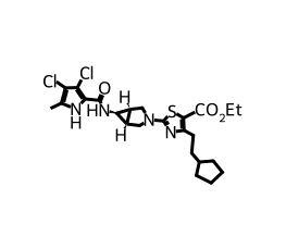 CCOC(=O)c1sc(N2C[C@@H]3[C@H](C2)[C@@H]3NC(=O)c2[nH]c(C)c(Cl)c2Cl)nc1CCC1CCCC1